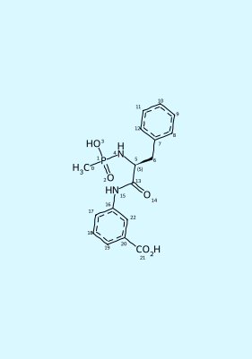 CP(=O)(O)N[C@@H](Cc1ccccc1)C(=O)Nc1cccc(C(=O)O)c1